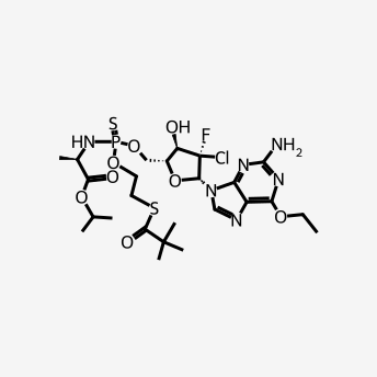 CCOc1nc(N)nc2c1ncn2[C@@H]1O[C@H](COP(=S)(N[C@H](C)C(=O)OC(C)C)OCCSC(=O)C(C)(C)C)[C@@H](O)[C@@]1(F)Cl